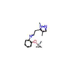 Cc1cnn(C)c1CC=Nc1ccccc1O[Si](C)(C)C